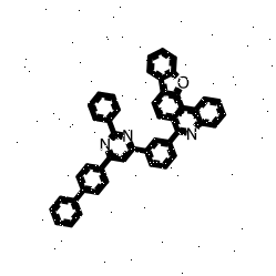 c1ccc(-c2ccc(-c3cc(-c4cccc(-c5nc6ccccc6c6c5ccc5c7ccccc7oc56)c4)nc(-c4ccccc4)n3)cc2)cc1